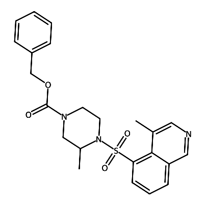 Cc1cncc2cccc(S(=O)(=O)N3CCN(C(=O)OCc4ccccc4)CC3C)c12